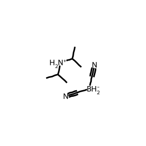 CC(C)[NH2+]C(C)C.N#C[BH2-]C#N